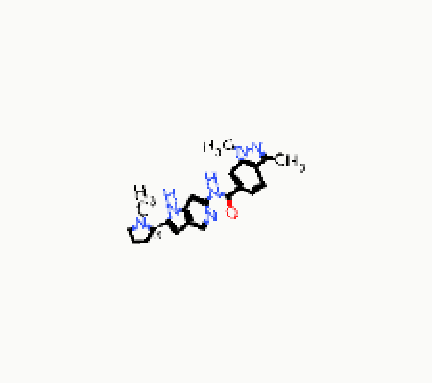 Cc1nn(C)c2cc(C(=O)Nc3cc4[nH]c([C@H]5CCCN5C)cc4cn3)ccc12